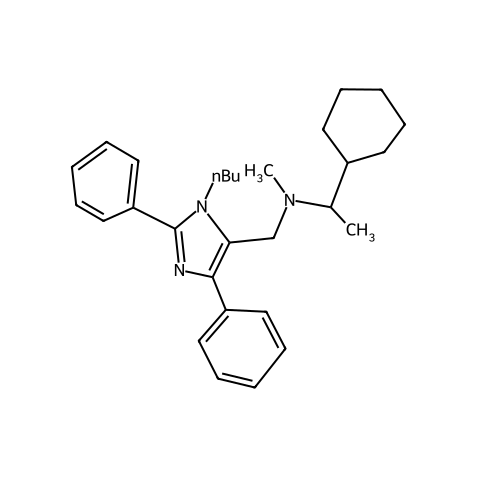 CCCCn1c(-c2ccccc2)nc(-c2ccccc2)c1CN(C)C(C)C1CCCCC1